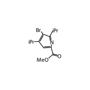 COC(=O)c1cc(C(C)C)c(Br)c(C(C)C)n1